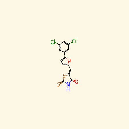 O=C1NC(=S)S/C1=C\c1ccc(-c2cc(Cl)cc(Cl)c2)o1